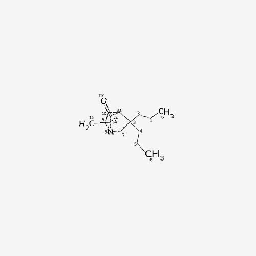 CCCC1(CCC)CN2CCC1C(=O)C2C